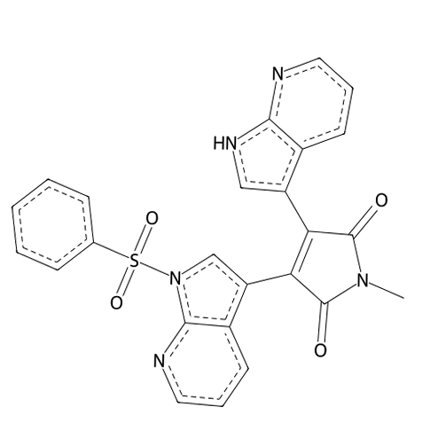 CN1C(=O)C(c2c[nH]c3ncccc23)=C(c2cn(S(=O)(=O)c3ccccc3)c3ncccc23)C1=O